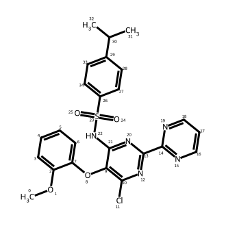 COc1ccccc1Oc1c(Cl)nc(-c2ncccn2)nc1NS(=O)(=O)c1ccc(C(C)C)cc1